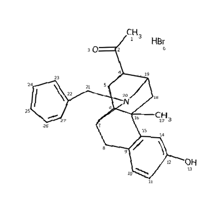 Br.CC(=O)C1CC2C3Cc4ccc(O)cc4C2(C)CC1N3Cc1ccccc1